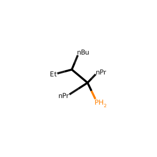 CCCCC(CC)C(P)(CCC)CCC